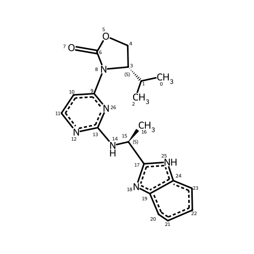 CC(C)[C@H]1COC(=O)N1c1ccnc(N[C@@H](C)c2nc3ccccc3[nH]2)n1